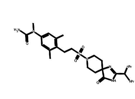 CCCC(CCC)C1=NC2(CCN(S(=O)(=O)CCc3c(C)cc(N(C)C(N)=O)cc3C)CC2)C(=O)N1